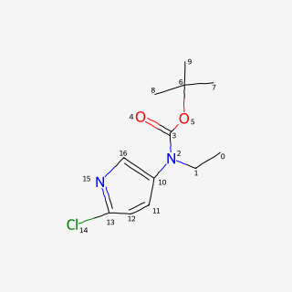 CCN(C(=O)OC(C)(C)C)c1ccc(Cl)nc1